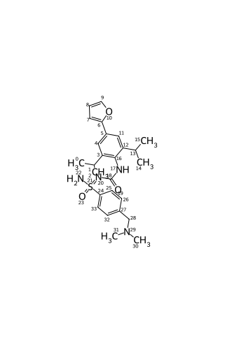 CC(C)c1cc(-c2ccco2)cc(C(C)C)c1NC(=O)N=S(N)(=O)c1ccc(CN(C)C)cc1